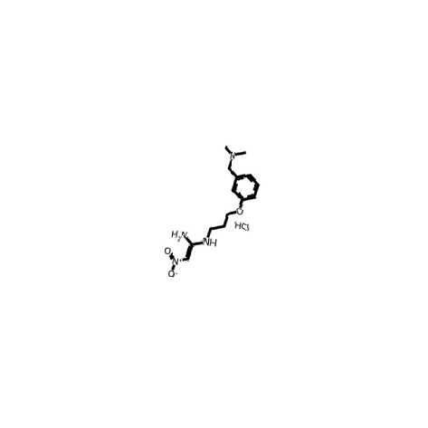 CN(C)Cc1cccc(OCCCNC(N)=C[N+](=O)[O-])c1.Cl